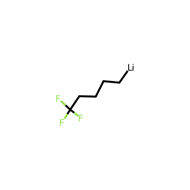 [Li][CH2]CCCC(F)(F)F